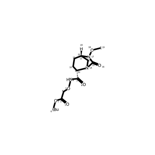 CC(C)(C)OC(=O)CONC(=O)[C@@H]1CC[C@H]2CN1C(=O)N2OI